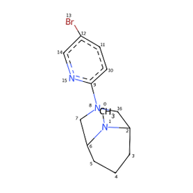 CN1C2CCCC1CN(c1ccc(Br)cn1)C2